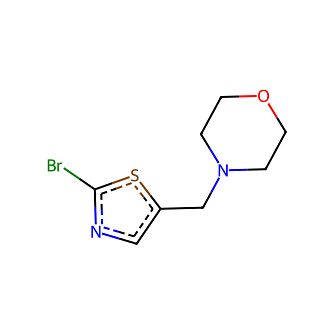 Brc1ncc(CN2CCOCC2)s1